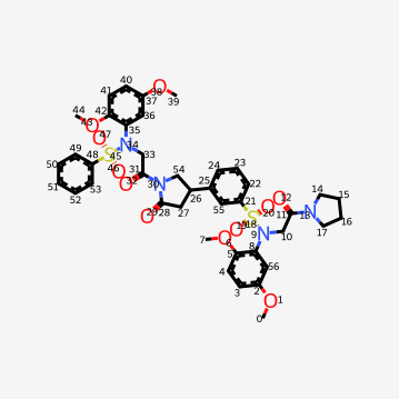 COc1ccc(OC)c(N(CC(=O)N2CCCC2)S(=O)(=O)c2cccc(C3CC(=O)N(C(=O)CN(c4cc(OC)ccc4OC)S(=O)(=O)c4ccccc4)C3)c2)c1